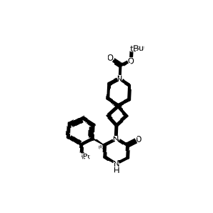 CC(C)c1ccccc1[C@@H]1CNCC(=O)N1C1CC2(CCN(C(=O)OC(C)(C)C)CC2)C1